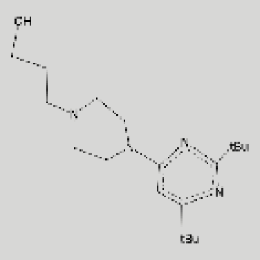 CC(C)(C)c1cc(N2CCN(CCCO)CC2)nc(C(C)(C)C)n1